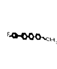 CCC[C@H]1CC[C@H](C2CCC(C3CCC(c4ccc(CF)cc4)CC3)CC2)CC1